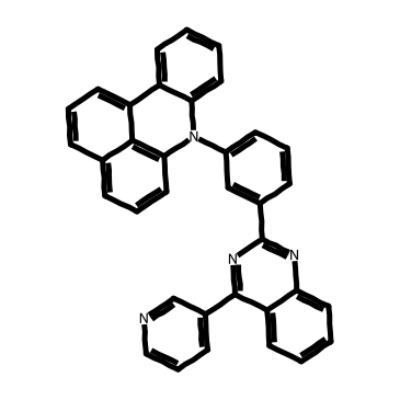 c1cncc(-c2nc(-c3cccc(N4c5ccccc5-c5cccc6cccc4c56)c3)nc3ccccc23)c1